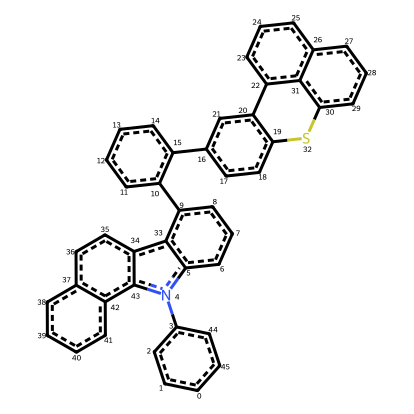 c1ccc(-n2c3cccc(-c4ccccc4-c4ccc5c(c4)-c4cccc6cccc(c46)S5)c3c3ccc4ccccc4c32)cc1